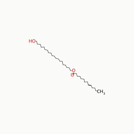 CCCCC=CCCCCCCCC(=O)OCCCCCCCCCCCCCCCCCCCCO